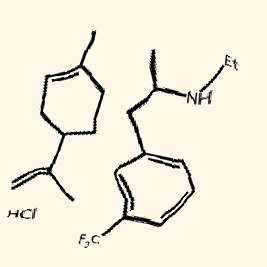 C=C(C)C1CC=C(C)CC1.CCNC(C)Cc1cccc(C(F)(F)F)c1.Cl